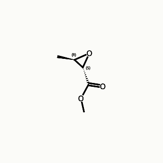 COC(=O)[C@H]1O[C@@H]1C